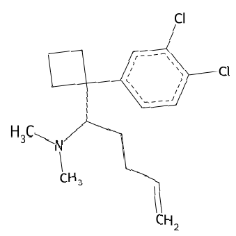 C=CCCC(N(C)C)C1(c2ccc(Cl)c(Cl)c2)CCC1